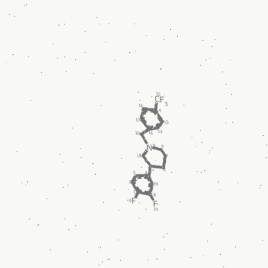 Fc1ccc(C2CCCN(Cc3ccc(C(F)(F)F)cc3)C2)cc1F